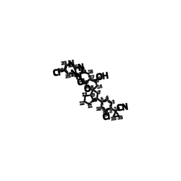 N#CC1(c2ccc(CCC3(C4CCCC4)CC(O)=C(Cc4nc5ncc(Cl)cn5n4)C(=O)O3)cc2Cl)CC1